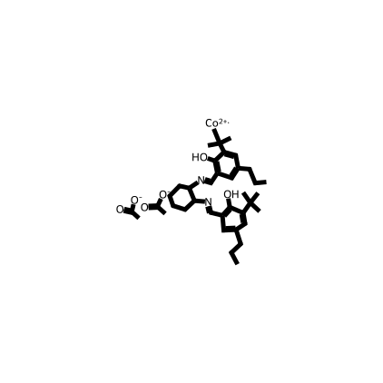 CC(=O)[O-].CC(=O)[O-].CCCc1cc(C=NC2CCCCC2N=Cc2cc(CCC)cc(C(C)(C)C)c2O)c(O)c(C(C)(C)C)c1.[Co+2]